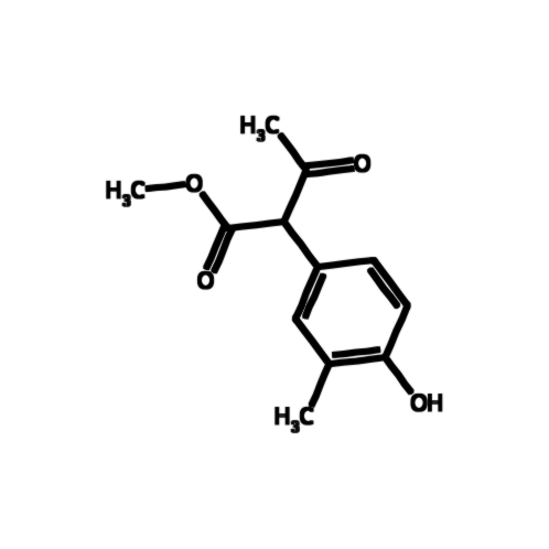 COC(=O)C(C(C)=O)c1ccc(O)c(C)c1